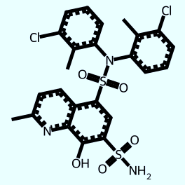 Cc1ccc2c(S(=O)(=O)N(c3cccc(Cl)c3C)c3cccc(Cl)c3C)cc(S(N)(=O)=O)c(O)c2n1